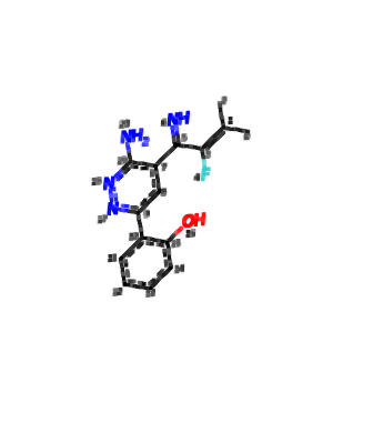 CC(C)=C(F)C(=N)c1cc(-c2ccccc2O)nnc1N